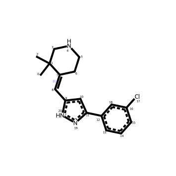 CC1(C)CNCC/C1=C\c1cc(-c2cccc(Cl)c2)n[nH]1